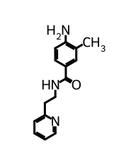 Cc1cc(C(=O)NCCc2ccccn2)ccc1N